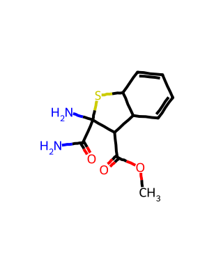 COC(=O)C1C2C=CC=CC2SC1(N)C(N)=O